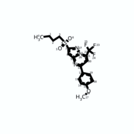 CCCCS(=O)(=O)c1cc2nc(-c3ccc(OC)cc3)cc(C(F)(F)F)n2n1